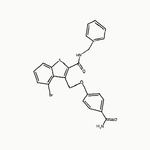 NC(=O)c1ccc(OCc2c(C(=O)NCc3ccccc3)sc3cccc(Br)c23)cc1